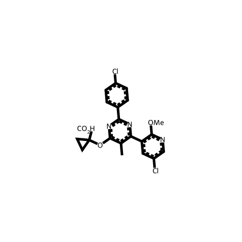 COc1ncc(Cl)cc1-c1nc(-c2ccc(Cl)cc2)nc(OC2(C(=O)O)CC2)c1C